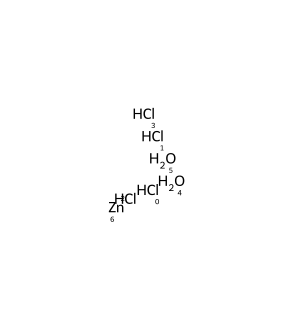 Cl.Cl.Cl.Cl.O.O.[Zn]